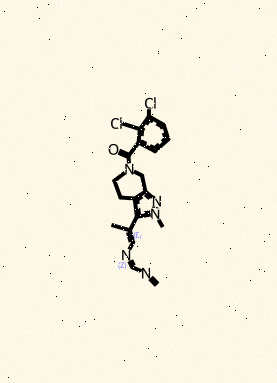 C=N/C=N\C=C(/C)c1c2c(nn1C)CN(C(=O)c1cccc(Cl)c1Cl)CC2